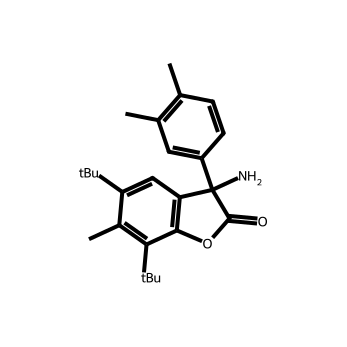 Cc1ccc(C2(N)C(=O)Oc3c2cc(C(C)(C)C)c(C)c3C(C)(C)C)cc1C